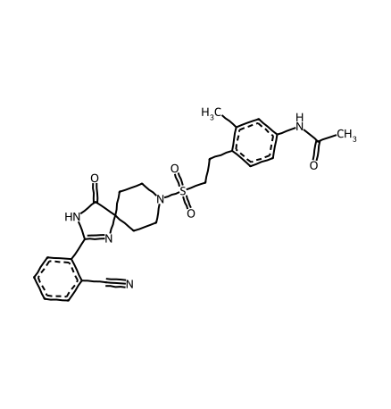 CC(=O)Nc1ccc(CCS(=O)(=O)N2CCC3(CC2)N=C(c2ccccc2C#N)NC3=O)c(C)c1